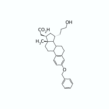 C[C@]12CCC3c4ccc(OCc5ccccc5)cc4CCC3C1[C@@H](CCCO)C[C@@H]2CC(=O)O